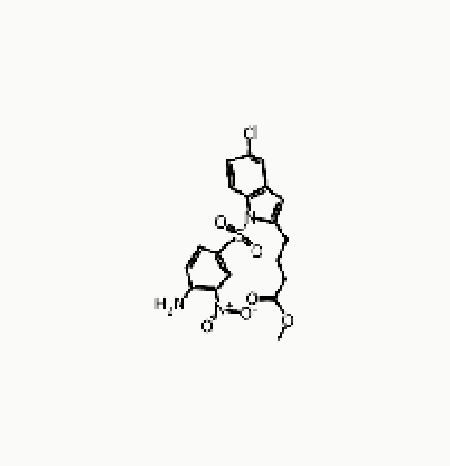 COC(=O)CCCc1cc2cc(Cl)ccc2n1S(=O)(=O)c1ccc(N)c([N+](=O)[O-])c1